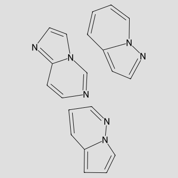 c1cc2nccn2cn1.c1ccn2nccc2c1.c1cnn2cccc2c1